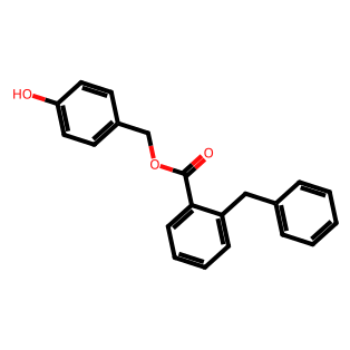 O=C(OCc1ccc(O)cc1)c1ccccc1Cc1ccccc1